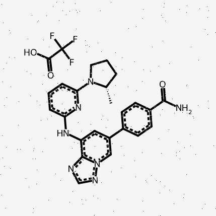 C[C@H]1CCCN1c1cccc(Nc2cc(-c3ccc(C(N)=O)cc3)cn3ncnc23)n1.O=C(O)C(F)(F)F